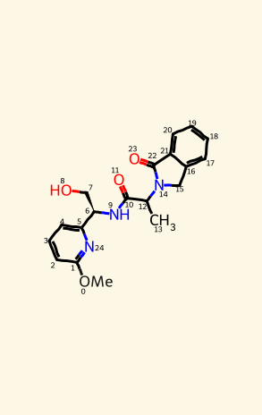 COc1cccc([C@@H](CO)NC(=O)C(C)N2Cc3ccccc3C2=O)n1